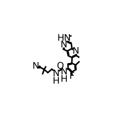 CNc1cc2nc(C)c(-c3cc(NC(=O)NCCC(C)(C)C#N)c(F)cc3C)cc2cn1